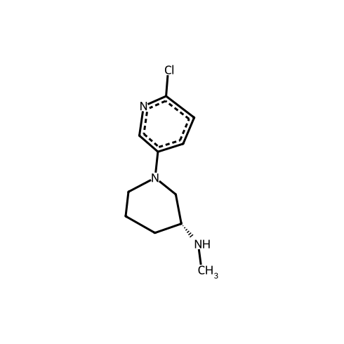 CN[C@@H]1CCCN(c2ccc(Cl)nc2)C1